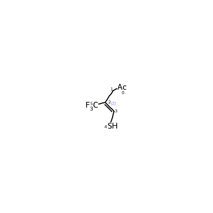 CC(=O)C/C(=C/S)C(F)(F)F